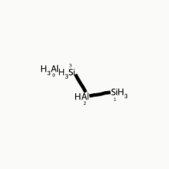 [AlH3].[SiH3][AlH][SiH3]